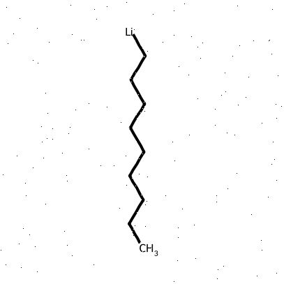 [Li][CH2]CCCCCCCC